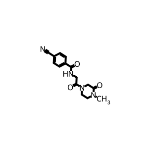 CN1CCN(C(=O)CNC(=O)c2ccc(C#N)cc2)CC1=O